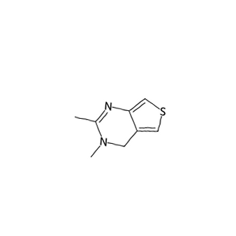 CC1=Nc2cscc2CN1C